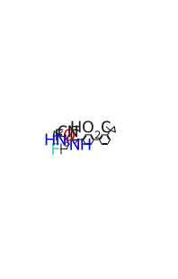 CC(C)(F)C[C@H](N[C@@H](c1ccc(-c2cccc(C3(C(=O)O)CC3)c2)cc1)C(F)(F)F)C(=O)NC1(C#N)CC1